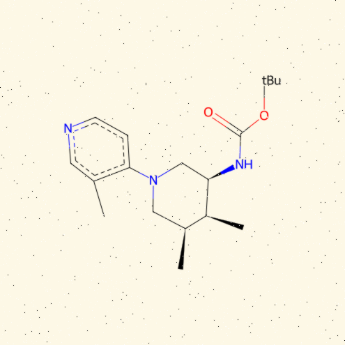 Cc1cnccc1N1C[C@H](C)[C@H](C)[C@H](NC(=O)OC(C)(C)C)C1